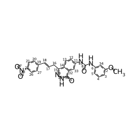 COc1cccc(NC(=O)Nc2ccc3c(CC=Cc4ccc([N+](=O)[O-])cc4)n[nH]c(=O)c3c2)c1